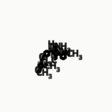 CCc1nc(Nc2ccc(OCC[C@H]3C[C@@H](OC)CN3CC)cc2)c(C(N)=O)nc1-c1cccc2c1ncn2C